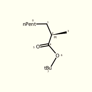 CCCCCC[C@@H](C)C(=O)OC(C)(C)C